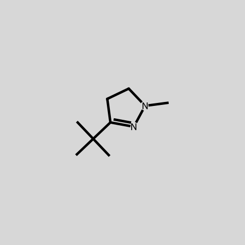 CN1CCC(C(C)(C)C)=N1